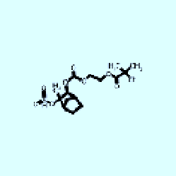 CCC(C)(C)C(=O)OCCOC(=O)OC1C2CCC(C2)C1(C)O[SH](=O)=O